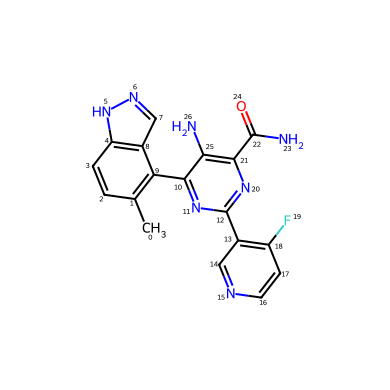 Cc1ccc2[nH]ncc2c1-c1nc(-c2cnccc2F)nc(C(N)=O)c1N